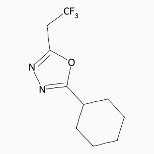 FC(F)(F)Cc1nnc(C2CCCCC2)o1